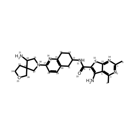 Cc1nc(C)c2c(N)c(C(=O)NC3CCc4nc(N5CC(N)C6(CCOC6)C5)ccc4C3)sc2n1